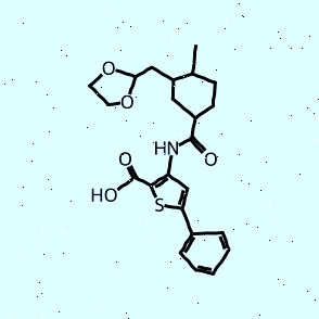 CC1CCC(C(=O)Nc2cc(-c3ccccc3)sc2C(=O)O)CC1CC1OCCO1